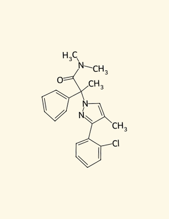 Cc1cn(C(C)(C(=O)N(C)C)c2ccccc2)nc1-c1ccccc1Cl